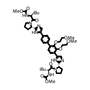 CC[C@H](C)C(NC(=O)OC)C(=O)N1CCC[C@H]1c1ncc(-c2ccc(-c3ccc(-c4cnc([C@@H]5CCCN5C(=O)[C@@H](NC(=O)OC)[C@@H](C)CC)[nH]4)c(OCCOC)c3OCCOC)cc2)[nH]1